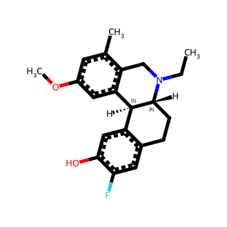 CCN1Cc2c(C)cc(OC)cc2[C@@H]2c3cc(O)c(F)cc3CC[C@H]21